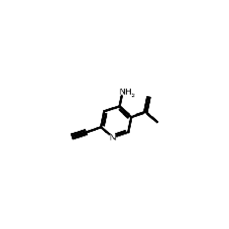 C#Cc1cc(N)c(C(=C)C)cn1